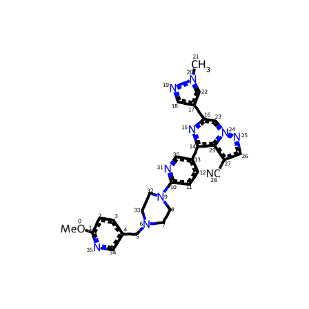 COc1ccc(CN2CCN(c3ccc(-c4nc(-c5cnn(C)c5)cn5ncc(C#N)c45)cn3)CC2)cn1